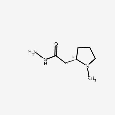 CN1CCC[C@H]1CC(=O)NN